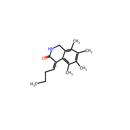 CCC/C=C1\C(=O)NCc2c(C)c(C)c(C)c(C)c21